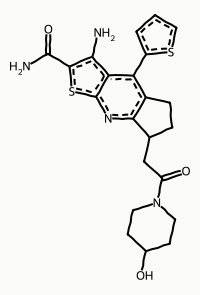 NC(=O)c1sc2nc3c(c(-c4cccs4)c2c1N)CCC3CC(=O)N1CCC(O)CC1